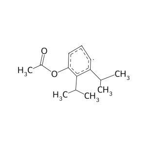 CC(=O)Oc1cc[c]c(C(C)C)c1C(C)C